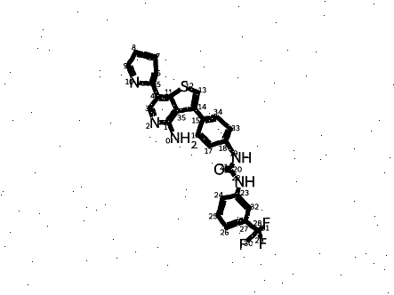 Nc1ncc(-c2ccccn2)c2scc(-c3ccc(NC(=O)Nc4cccc(C(F)(F)F)c4)cc3)c12